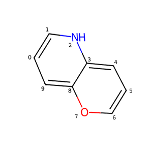 C1=CNC2=CC=COC2=C1